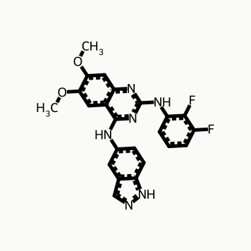 COc1cc2nc(Nc3cccc(F)c3F)nc(Nc3ccc4[nH]ncc4c3)c2cc1OC